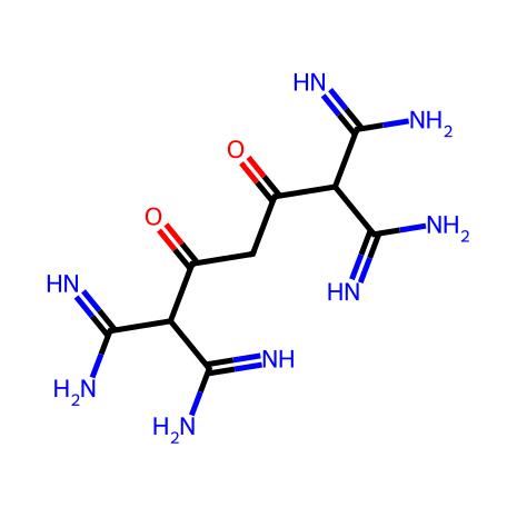 N=C(N)C(C(=N)N)C(=O)CC(=O)C(C(=N)N)C(=N)N